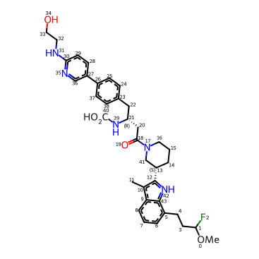 COC(F)CCc1cccc2c(C)c([C@H]3CCCN(C(=O)C[C@@H](Cc4ccc(-c5ccc(NCCO)nc5)cc4)NC(=O)O)C3)[nH]c12